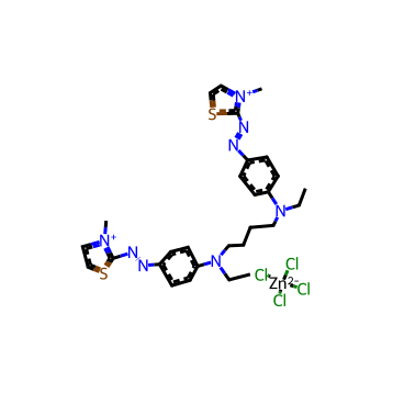 CCN(CCCCN(CC)c1ccc(N=Nc2scc[n+]2C)cc1)c1ccc(N=Nc2scc[n+]2C)cc1.[Cl][Zn-2]([Cl])([Cl])[Cl]